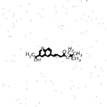 C[C@@H](O)c1cnc2ccc(/C=C/CC(=O)OC(C)(C)C)cc2c1